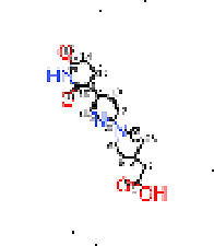 O=C(O)CC1CCN(c2ccc([C@@H]3CCC(=O)NC3=O)cn2)CC1